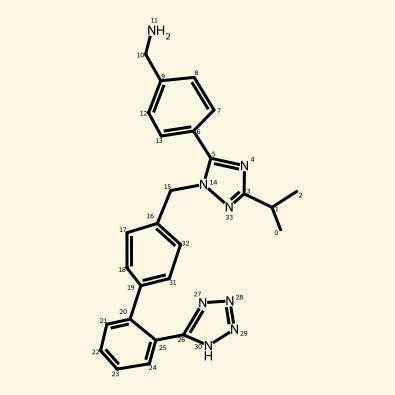 CC(C)c1nc(-c2ccc(CN)cc2)n(Cc2ccc(-c3ccccc3-c3nnn[nH]3)cc2)n1